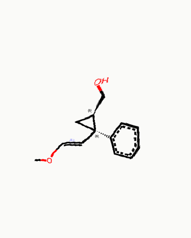 CO/C=C/[C@@]1(c2ccccc2)C[C@H]1CO